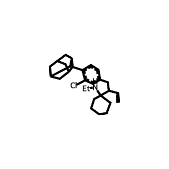 C=CC(Cc1ccc(C2C3CC4CC(C3)CC2C4)c(Cl)c1)C1(NCC)CCCCC1